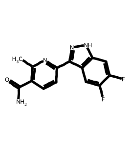 Cc1nc(-c2n[nH]c3cc(F)c(F)cc23)ccc1C(N)=O